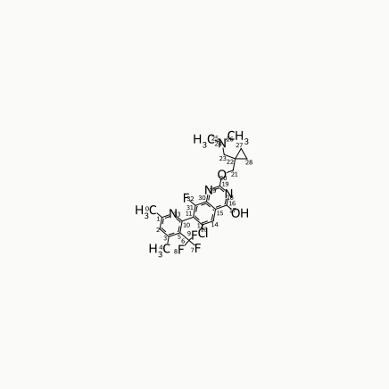 Cc1cc(C)c(C(F)(F)F)c(-c2c(Cl)cc3c(O)nc(OCC4(CN(C)C)CC4)nc3c2F)n1